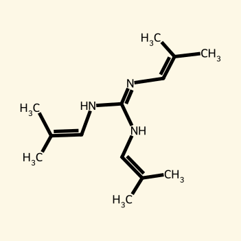 CC(C)=CN=C(NC=C(C)C)NC=C(C)C